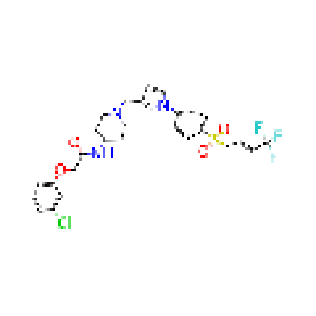 O=C(COc1cccc(Cl)c1)NC1CCN(Cc2ccn(-c3ccc(S(=O)(=O)CC=CC(F)(F)F)cc3)c2)CC1